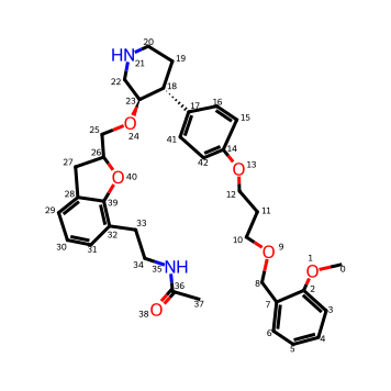 COc1ccccc1COCCCOc1ccc([C@H]2CCNC[C@@H]2OCC2Cc3cccc(CCNC(C)=O)c3O2)cc1